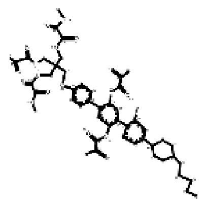 C=C(C)C(=O)OCC(COC(=O)C(=O)OC)(COC(=O)C(=O)OC)COc1ccc(-c2cc(OC(=O)C(=C)C)c(-c3ccc(C4CCC(CCCCC)CC4)cc3F)cc2OC(=O)C(=C)C)cc1